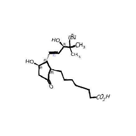 CCCCC(C)(C)[C@H](O)/C=C/[C@H]1[C@H](O)CC(=O)[C@@H]1CCCCCCC(=O)O